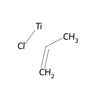 C=CC.[Cl][Ti]